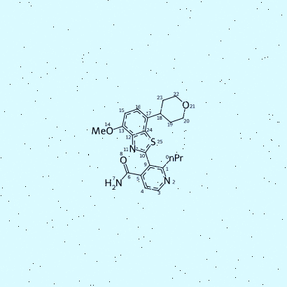 CCCc1nccc(C(N)=O)c1-c1nc2c(OC)ccc(C3CCOCC3)c2s1